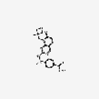 COC(=O)c1ccc([C@H](C)Nc2ncc3ccc(=O)n(CC4(C)COC4)c3n2)cc1